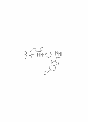 CC(=O)Oc1cccc(C(=O)Nc2ccc(-c3n[nH]cc3-c3nc4cc(Cl)ccc4o3)cc2)c1